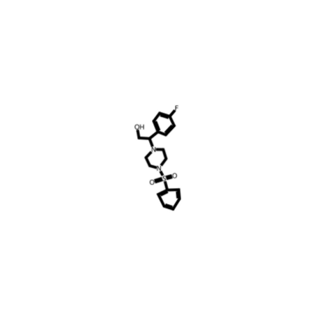 O=S(=O)(c1ccccc1)N1CCN(C(CO)c2ccc(F)cc2)CC1